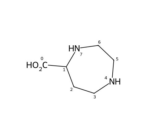 O=C(O)C1CCNCCN1